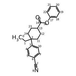 CCC1(c2ccc(C#N)cc2)CCC(C(=O)Oc2ccccc2)CC1